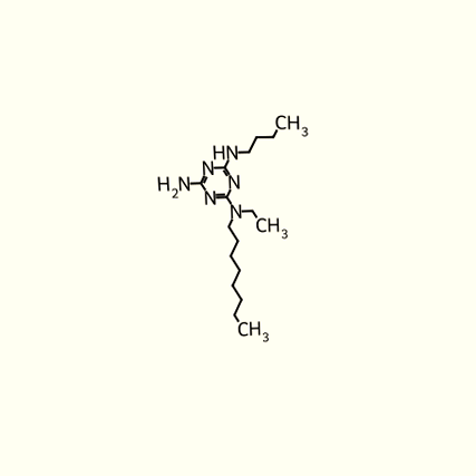 CCCCCCCCN(CC)c1nc(N)nc(NCCCC)n1